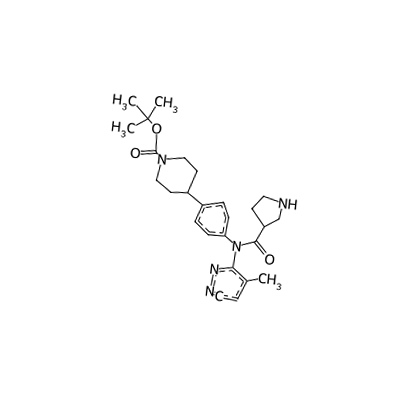 Cc1ccnnc1N(C(=O)C1CCNC1)c1ccc(C2CCN(C(=O)OC(C)(C)C)CC2)cc1